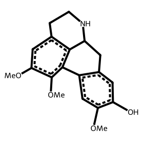 COc1cc2c(cc1O)CC1NCCc3cc(OC)c(OC)c-2c31